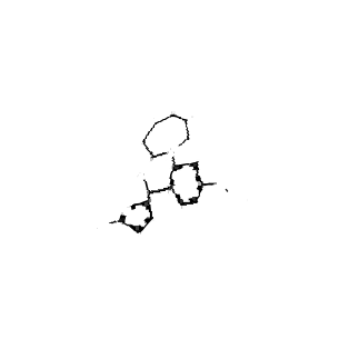 COc1ccc(C(N)c2ccc(C)o2)c(N2CCCCCC2)c1